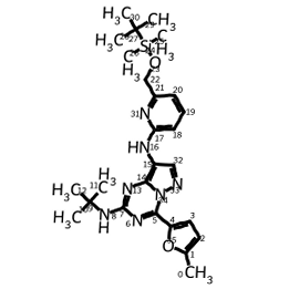 Cc1ccc(-c2nc(NC(C)(C)C)nc3c(Nc4cccc(CO[Si](C)(C)C(C)(C)C)n4)cnn23)o1